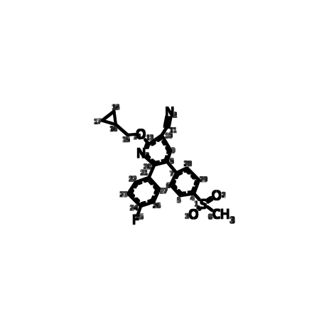 CS(=O)(=O)c1ccc(-c2cc(C#N)c(OCC3CC3)nc2-c2ccc(F)cc2)cc1